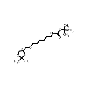 CC(C)(C)OC(=O)NCCCCCCOC[C@@H]1COC(C)(C)O1